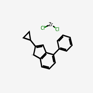 [CH]1C(C2CC2)=Cc2c1cccc2-c1ccccc1.[Cl][Zr][Cl]